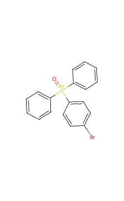 O=[SH](c1ccccc1)(c1ccccc1)c1ccc(Br)cc1